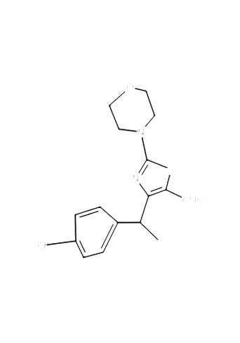 CC(c1ccc(Cl)cc1)c1nc(N2CCOCC2)sc1C=O